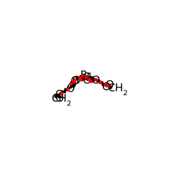 C=CC(=O)OCCCCCCOc1ccc(OOCc2ccc(C(=O)Oc3ccc(OCCCCCCOC(=O)C=C)cc3)c(Br)c2)cc1